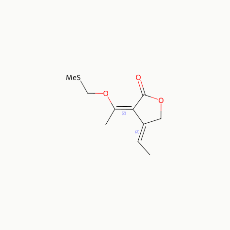 C/C=C1\COC(=O)\C1=C(\C)OCSC